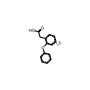 O=C(O)Cc1ccccc1Oc1ccccc1.S